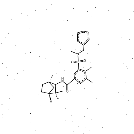 Cc1cc(C(=O)NC2C(C)(C)[C@@H]3CC[C@]2(C)C3)cc(S(=O)(=O)N(C)Cc2ccccc2)c1C